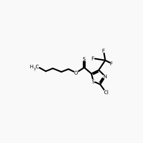 CCCCCOC(=S)c1sc(Cl)nc1C(F)(F)F